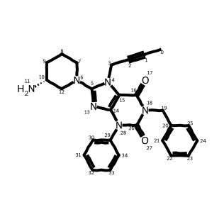 CC#CCn1c(N2CCC[C@@H](N)C2)nc2c1c(=O)n(Cc1ccccc1)c(=O)n2-c1ccccc1